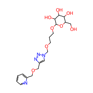 OCC1OC(OCCCOCn2cc(COCc3ccccn3)nn2)C(O)C(O)C1O